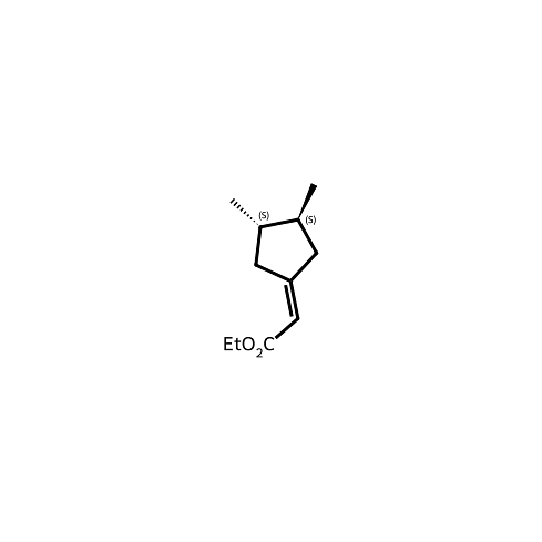 CCOC(=O)C=C1C[C@H](C)[C@@H](C)C1